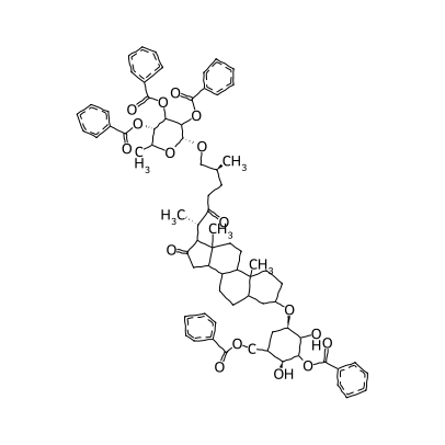 CC1O[C@@H](OC[C@@H](C)CCC(=O)[C@@H](C)C2C(=O)CC3C4CCC5CC(O[C@@H]6CC(COC(=O)c7ccccc7)[C@H](O)C(OC(=O)c7ccccc7)C6O)CCC5(C)C4CCC32C)C(OC(=O)c2ccccc2)C(OC(=O)c2ccccc2)[C@H]1OC(=O)c1ccccc1